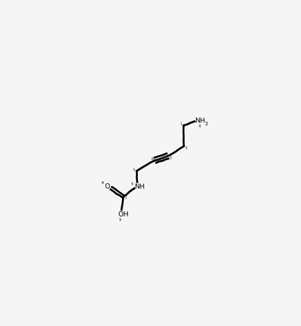 NCCC#CCNC(=O)O